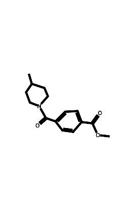 COC(=O)c1ccc(C(=O)N2CCC(C)CC2)cc1